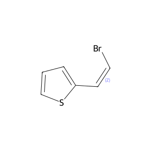 Br/C=C\c1cccs1